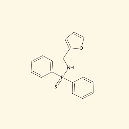 S=P(NCc1ccco1)(c1ccccc1)c1ccccc1